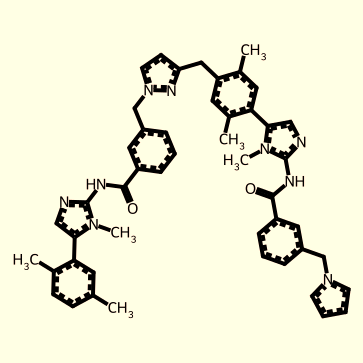 Cc1ccc(C)c(-c2cnc(NC(=O)c3cccc(Cn4ccc(Cc5cc(C)c(-c6cnc(NC(=O)c7cccc(Cn8cccc8)c7)n6C)cc5C)n4)c3)n2C)c1